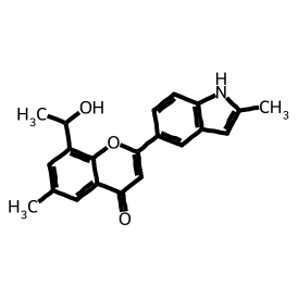 Cc1cc(C(C)O)c2oc(-c3ccc4[nH]c(C)cc4c3)cc(=O)c2c1